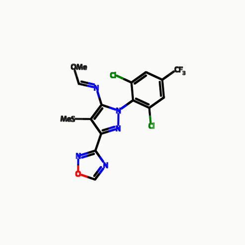 CO/C=N/c1c(SC)c(-c2ncon2)nn1-c1c(Cl)cc(C(F)(F)F)cc1Cl